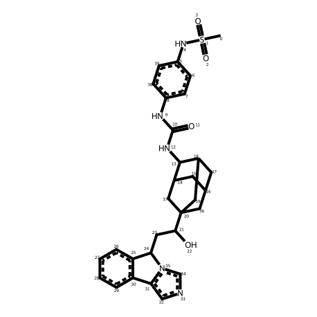 CS(=O)(=O)Nc1ccc(NC(=O)NC2C3CC4CC2CC(C(O)CC2c5ccccc5-c5cncn52)(C4)C3)cc1